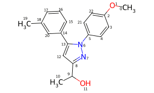 COc1ccc(-n2nc(C(C)O)cc2-c2cccc(C)c2)cc1